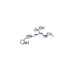 C\N=C/C=C(\C=C\CNCCC1CCCN1)C(=O)O